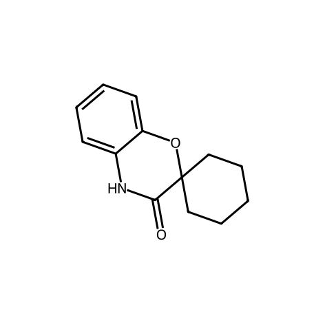 O=C1Nc2ccccc2OC12CCCCC2